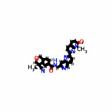 Cn1c(=O)ccc2ccc(-c3ccc4cnc(CNC(=O)c5ccc6c(c5)[C@](C)(C#N)COC6)cc4n3)nc21